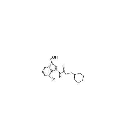 O=C(CCC1CCCCC1)Nc1cn(CO)c2cccc(Br)c12